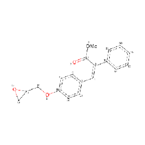 COC(=O)/C(=C\c1ccc(OCC2CO2)cc1)c1ccccc1